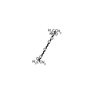 CC(C)C(=O)COCCCCCOCCCCCOCCOCCNC(=O)C(C)C